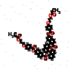 C=CC(=O)OCCCOc1ccc(C(=O)Oc2ccc3cc(C(=O)Oc4ccc5ccccc5c4-c4c(OC(=O)c5ccc6cc(OC(=O)c7ccc(OCCCOC(=O)C=C)cc7)ccc6c5)ccc5ccccc45)ccc3c2)cc1